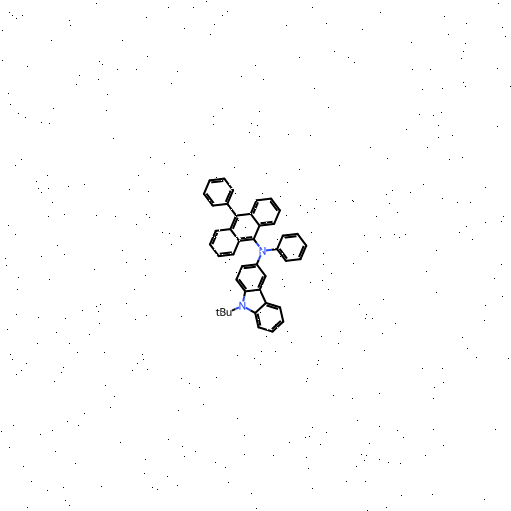 CC(C)(C)n1c2ccccc2c2cc(N(c3ccccc3)c3c4ccccc4c(-c4ccccc4)c4ccccc34)ccc21